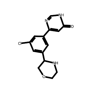 O=c1cc(-c2cc(Cl)cc(C3COCCN3)c2)nc[nH]1